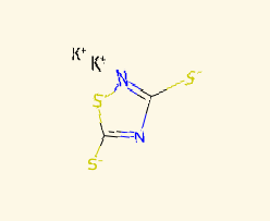 [K+].[K+].[S-]c1nsc([S-])n1